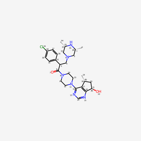 C[C@@H]1CN(CC(C(=O)N2CCN(c3ncnc4c3[C@H](C)C[C@H]4O)CC2)c2ccc(Cl)cc2)C[C@H](C)N1